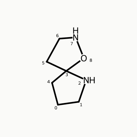 C1CNC2(C1)CCNO2